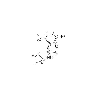 COc1ccc(F)c2c1CC(NC1CCCC1)CO2